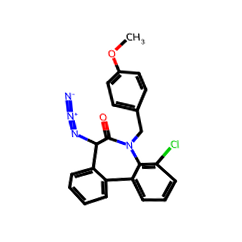 COc1ccc(CN2C(=O)C(N=[N+]=[N-])c3ccccc3-c3cccc(Cl)c32)cc1